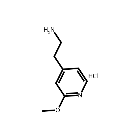 COc1cc(CCN)ccn1.Cl